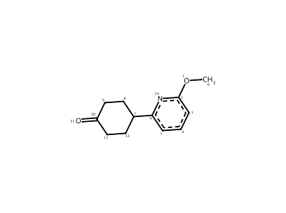 COc1cccc(C2CCC(=O)CC2)n1